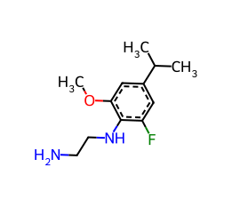 COc1cc(C(C)C)cc(F)c1NCCN